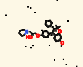 COc1ccc2c(c1)OC(C)(C)[C@@H](c1ccccc1)[C@@H]2c1ccc(OC[C@H](O)CN2CCCCC2)cc1